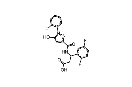 O=C(O)CC(NC(=O)c1cc(O)n(-c2ccccc2F)n1)c1cc(F)ccc1F